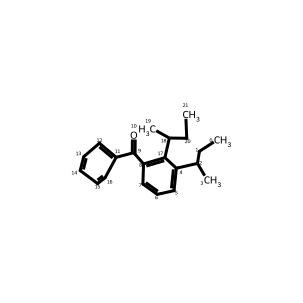 CCC(C)c1cccc(C(=O)c2ccccc2)c1C(C)CC